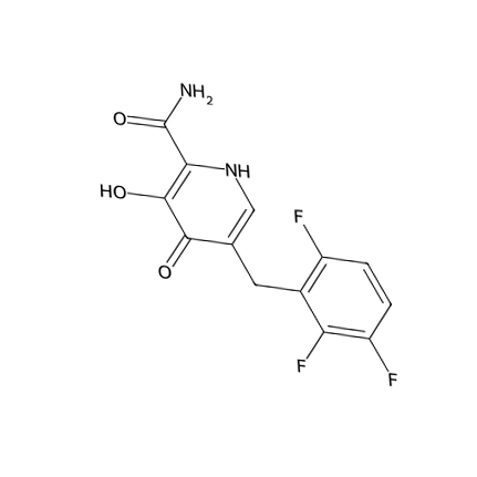 NC(=O)c1[nH]cc(Cc2c(F)ccc(F)c2F)c(=O)c1O